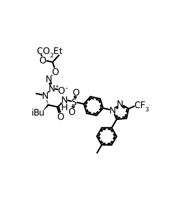 CCOC(=O)OC(C)O/N=[N+](\[O-])N(C)[C@H](C(=O)NS(=O)(=O)c1ccc(-n2nc(C(F)(F)F)cc2-c2ccc(C)cc2)cc1)[C@H](C)CC